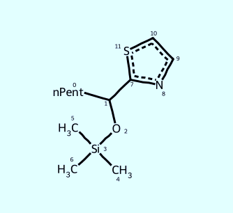 CCCCCC(O[Si](C)(C)C)c1nccs1